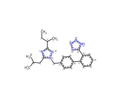 CCC(C)c1nc(CC(C)C)n(Cc2ccc(-c3ccccc3-c3nnn[nH]3)cc2)n1